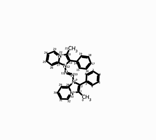 Cc1c(-c2ccccc2)n(/N=N/n2c(-c3ccccc3)c(C)[n+]3ccccc23)c2cccc[n+]12